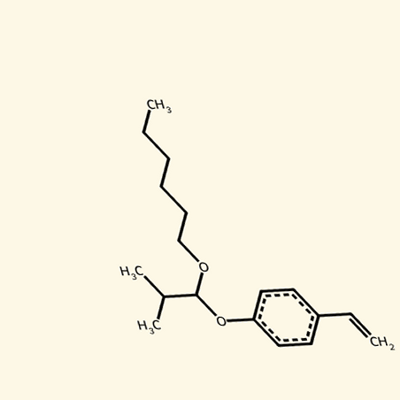 C=Cc1ccc(OC(OCCCCCC)C(C)C)cc1